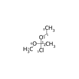 CCOC(C)(Cl)OC